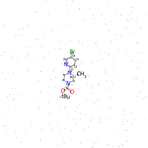 C[C@@H]1CN(C(=O)OC(C)(C)C)CCN1c1ccc(Br)cn1